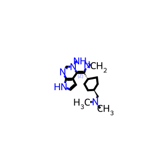 C=N/C(=C1/c2cc[nH]c2N=CN1N)[C@H]1CC[C@H](CN(C)C)CC1